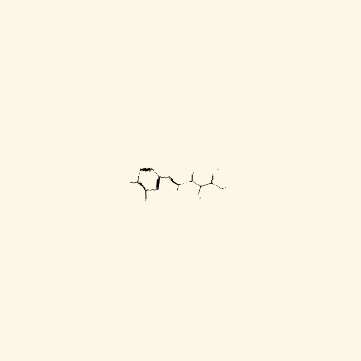 CCc1ccc(C=C(O)C(O)C(O)C(O)CO)cc1C